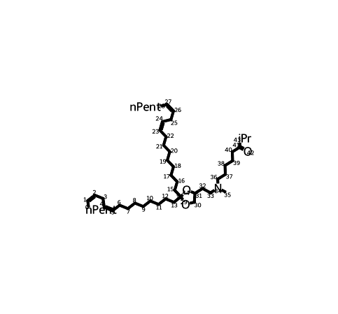 CCCCC/C=C\C/C=C\CCCCCCCCC1(CCCCCCCC/C=C\C/C=C\CCCCC)OCC(CCN(C)CCCCCC(=O)C(C)C)O1